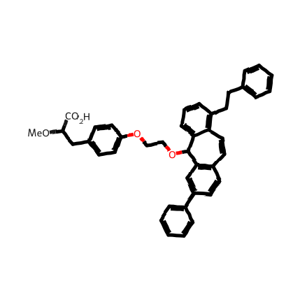 COC(Cc1ccc(OCCOC2c3cc(-c4ccccc4)ccc3C=Cc3c(CCc4ccccc4)cccc32)cc1)C(=O)O